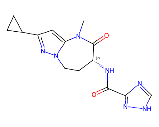 CN1C(=O)[C@H](NC(=O)c2nc[nH]n2)CCn2nc(C3CC3)cc21